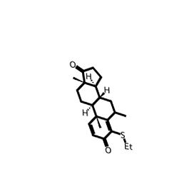 CCSC1=C2C(C)C[C@@H]3[C@H](CC[C@]4(C)C(=O)CC[C@@H]34)[C@@]2(C)C=CC1=O